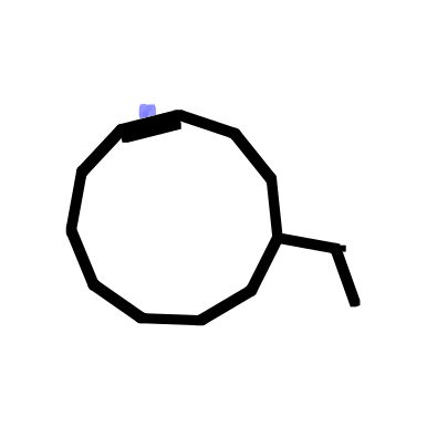 C[CH]C1CC/C=C\CCCCCC1